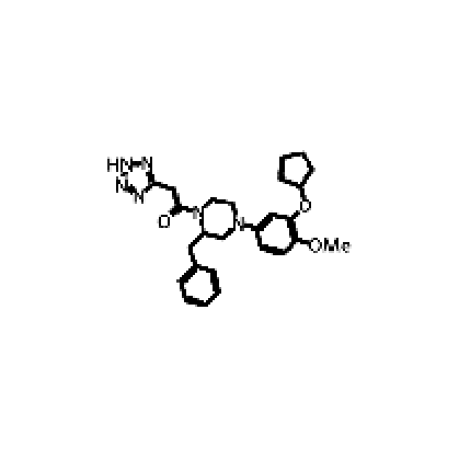 COc1ccc(N2CCN(C(=O)Cc3nn[nH]n3)C(Cc3ccccc3)C2)cc1OC1CCCC1